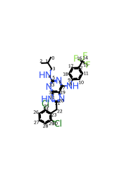 CC(C)CNc1nc(Nc2ccc(C(F)(F)F)cc2)c2nc(Cc3c(Cl)cccc3Cl)[nH]c2n1